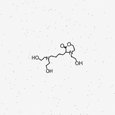 O=C1OCCN(CCO)C1CCCCN(CCO)CCO